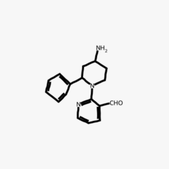 NC1CCN(c2ncccc2C=O)C(c2ccccc2)C1